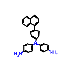 Nc1ccc(N(c2ccc(N)cc2)c2ccc(-c3cccc4ccccc34)cc2)cc1